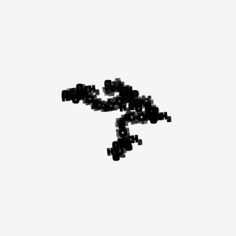 CN1C(=O)N([C@H]2CCCN(c3cnc(C(N)=O)c(Nc4ccc(C5CCN(C[C@@H]6CCN(c7ccc(-c8nn(C9CCC(=O)NC9=O)c(=O)n8C)cc7)C6)CC5)cc4)n3)C2)CC1NC(=O)c1ncc(N2CCC[C@H](N3CCCC3=O)C2)nc1Nc1ccc(C2CCN(CC3CCN(c4ccc(-c5nn(C6CCC(=O)NC6=O)c(=O)n5C)cc4)CC3)CC2)cc1